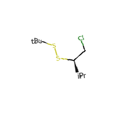 CC(C)[C@H](CCl)SSC(C)(C)C